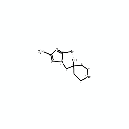 O=[N+]([O-])c1cn(CC2(O)CCNCC2)c(Br)n1